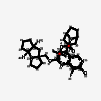 CC(C)(C)OC(=O)N1C2CCC1CN(c1nc(OC[C@@]34CCCN3[C@@H]3CCC[C@@H]3C4)nc3c(F)c(Cl)ncc13)C2